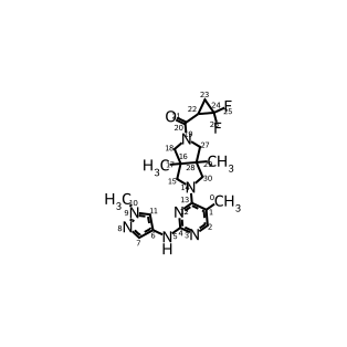 Cc1cnc(Nc2cnn(C)c2)nc1N1CC2(C)CN(C(=O)C3CC3(F)F)CC2(C)C1